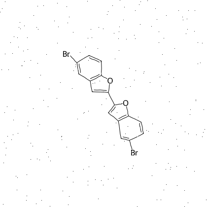 Brc1ccc2oc(-c3cc4cc(Br)ccc4o3)cc2c1